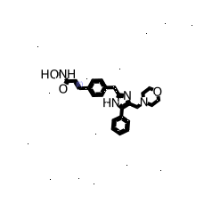 O=C(/C=C/c1ccc(Cc2nc(CN3CCOCC3)c(-c3ccccc3)[nH]2)cc1)NO